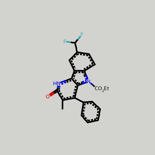 CCOC(=O)n1c2ccc(C(F)F)cc2c2[nH]c(=O)c(C)c(-c3ccccc3)c21